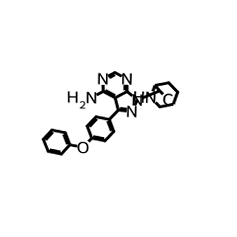 Nc1ncnc2c1c(-c1ccc(Oc3ccccc3)cc1)nn2C1CC2CCC1NC2